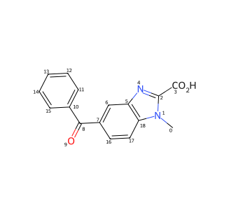 Cn1c(C(=O)O)nc2cc(C(=O)c3ccccc3)ccc21